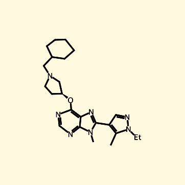 CCn1ncc(-c2nc3c(O[C@H]4CCN(CC5CCCCC5)C4)ncnc3n2C)c1C